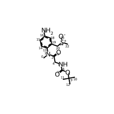 CN(C(=O)CNC(=O)OC(C)(C)C)c1ccc(N)cc1C[S+](C)[O-]